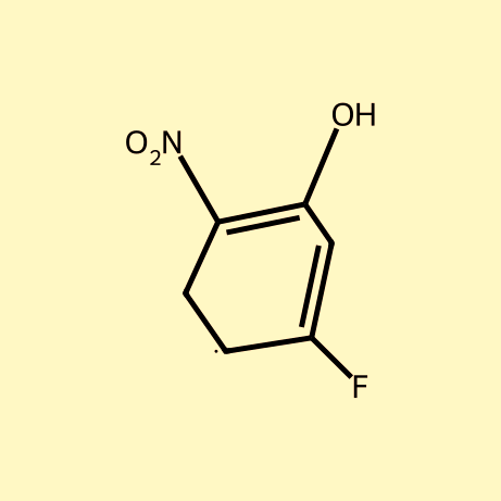 O=[N+]([O-])C1=C(O)C=C(F)[CH]C1